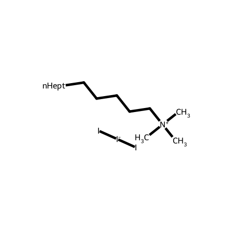 CCCCCCCCCCCC[N+](C)(C)C.I[I-]I